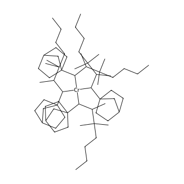 CCCCC(C)(C)C(C)[CH](C12CCC(CC1)C2)[Cr]([CH](C(C)C(C)(C)CCCC)C12CCC(CC1)C2)([CH](C(C)C(C)(C)CCCC)C12CCC(CC1)C2)[CH](C(C)C(C)(C)CCCC)C12CCC(CC1)C2